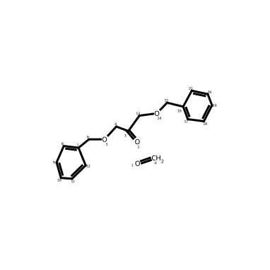 C=O.O=C(COCc1ccccc1)COCc1ccccc1